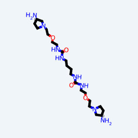 N[C@H]1CCN(CCOCCNC(=O)NCCCCNC(=O)NCCOCCN2CC[C@H](N)C2)C1